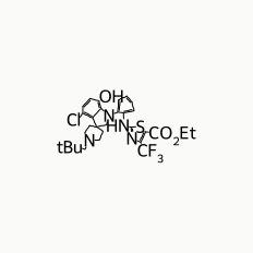 CCOC(=O)c1sc(Nc2ccccc2N2CC3(CCN(CC(C)(C)C)CC3)c3c(Cl)ccc(O)c32)nc1C(F)(F)F